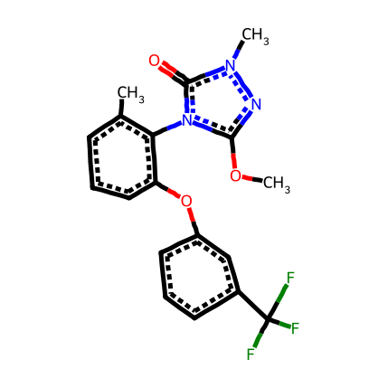 COc1nn(C)c(=O)n1-c1c(C)cccc1Oc1cccc(C(F)(F)F)c1